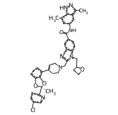 Cc1n[nH]c2c(C)cc(NC(=O)c3ccc4c(c3)nc(CN3CC=C(c5cccc6c5O[C@@](C)(c5ccc(Cl)cn5)O6)CC3)n4CC3CCO3)cc12